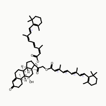 CC(C=CC=C(C)/C=C/C1=C(C)CCCC1(C)C)=CC(=O)O[C@@]1(C(=O)COC(=O)/C=C(C)/C=C/C=C(C)/C=C/C2=C(C)CCCC2(C)C)CC[C@H]2[C@@H]3CCC4=CC(=O)CC[C@]4(C)[C@H]3[C@@H](O)C[C@@]21C